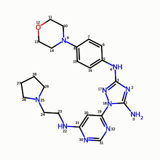 Nc1nc(Nc2ccc(N3CCOCC3)cc2)nn1-c1cc(NCCN2CCCC2)ncn1